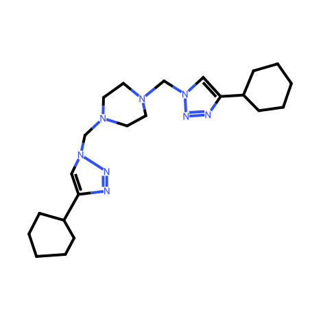 c1c(C2CCCCC2)nnn1CN1CCN(Cn2cc(C3CCCCC3)nn2)CC1